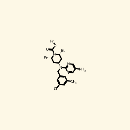 CC[C@@H]1C[C@H](N(Cc2cc(Cl)cc(C(F)(F)F)c2)c2ncc(N)cn2)C[C@H](CC)N1C(=O)OC(C)C